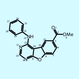 COC(=O)c1ccc2oc3ncnc(Nc4ccccc4)c3c2c1